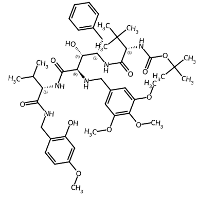 COc1ccc(CNC(=O)[C@@H](NC(=O)[C@H](NCc2cc(OC)c(OC)c(OC)c2)[C@H](O)[C@H](Cc2ccccc2)NC(=O)[C@@H](NC(=O)OC(C)(C)C)C(C)(C)C)C(C)C)c(O)c1